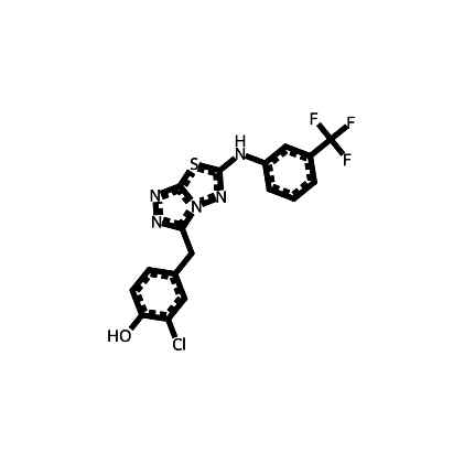 Oc1ccc(Cc2nnc3sc(Nc4cccc(C(F)(F)F)c4)nn23)cc1Cl